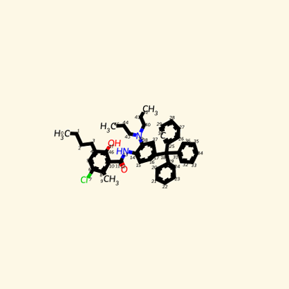 CCCCc1cc(Cl)c(C)c(C(=O)Nc2ccc(C(c3ccccc3)(c3ccccc3)c3ccccc3)cc2N(CCC)CCC)c1O